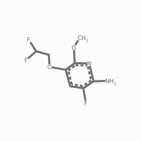 COc1nc(N)c(F)cc1OCC(F)F